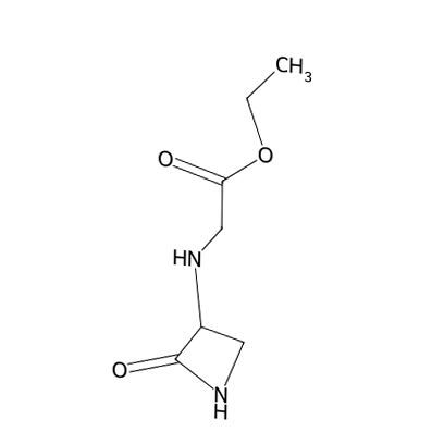 CCOC(=O)CNC1CNC1=O